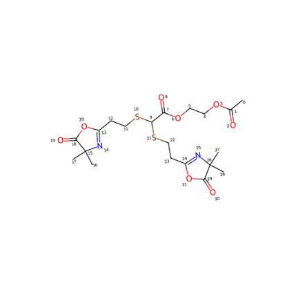 CC(=O)OCCOC(=O)C(SCCC1=NC(C)(C)C(=O)O1)SCCC1=NC(C)(C)C(=O)O1